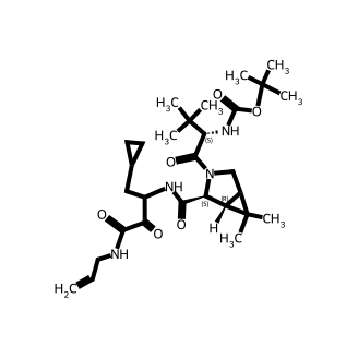 C=CCNC(=O)C(=O)C(CC1CC1)NC(=O)[C@@H]1[C@@H]2C(CN1C(=O)[C@@H](NC(=O)OC(C)(C)C)C(C)(C)C)C2(C)C